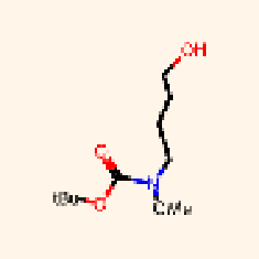 CON(CCCCO)C(=O)OC(C)(C)C